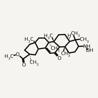 COC(=O)[C@@]1(C)CC[C@]2(C)CC[C@]3(C)C(=CC(=O)C4[C@@]5(C)CCC(NO)C(C)(C)[C@@H]5CC[C@]43C)C2C1